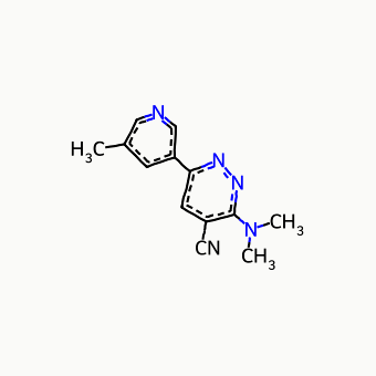 Cc1cncc(-c2cc(C#N)c(N(C)C)nn2)c1